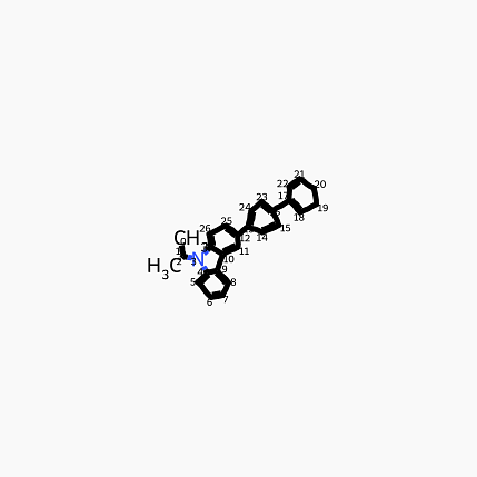 CC(C)n1c2ccccc2c2cc(-c3ccc(C4=CCCC=C4)cc3)ccc21